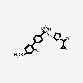 COc1ccc(-c2ccc(-c3nnnn3C[C@@H]3CCN(C(=O)C4CC4)C3)cc2)c(Cl)c1